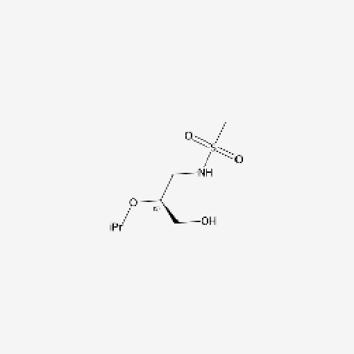 CC(C)O[C@H](CO)CNS(C)(=O)=O